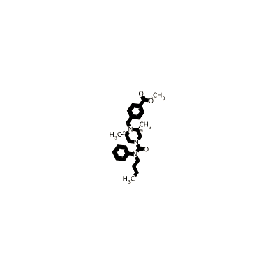 CCCCN(C(=O)N1C[C@@H](C)N(Cc2ccc(C(=O)OC)cc2)[C@@H](C)C1)c1ccccc1